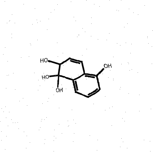 Oc1cccc2c1C=CC(O)C2(O)O